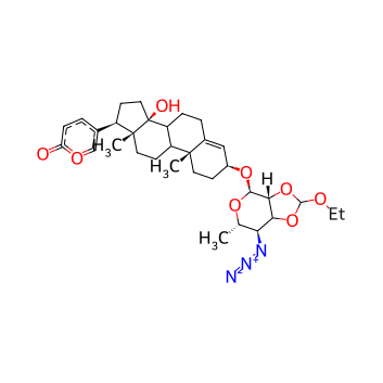 CCOC1OC2[C@@H](N=[N+]=[N-])[C@H](C)O[C@@H](O[C@@H]3C=C4CCC5C(CC[C@]6(C)[C@@H](c7ccc(=O)oc7)CC[C@]56O)[C@@]4(C)CC3)[C@@H]2O1